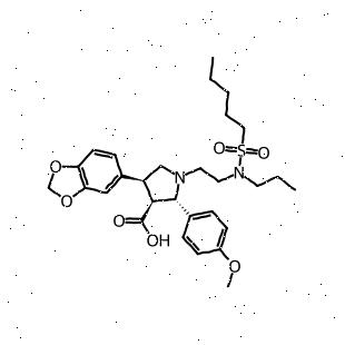 CCCCCS(=O)(=O)N(CCC)CCN1C[C@H](c2ccc3c(c2)OCO3)[C@H](C(=O)O)[C@H]1c1ccc(OC)cc1